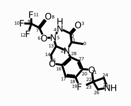 CC1C(=O)NN(OC(=O)C(F)(F)F)C2COc3cc(F)c(OC4(C)CNC4)cc3N12